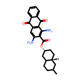 CC1CCC2C[C@H](OC(=O)c3c(N)cc4c(c3N)C(=O)c3ccccc3C4=O)CC[C@@H]2C1